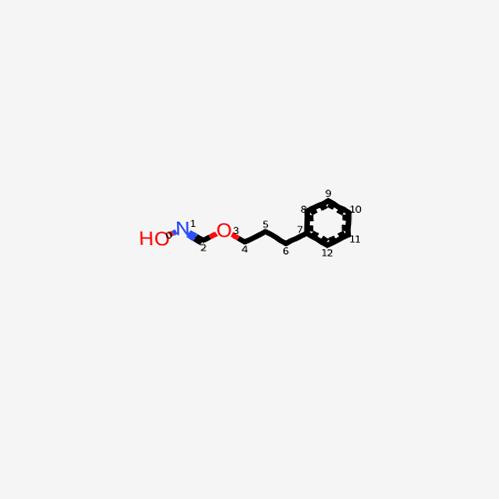 ON=COCCCc1ccccc1